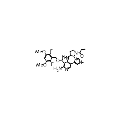 C=CC(=O)N1CCC(n2nc(OCc3c(F)c(OC)cc(OC)c3F)c3c(N)ncc(-c4cn(C)cn4)c32)C1